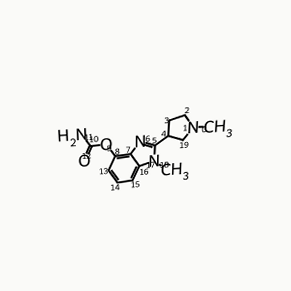 CN1CCC(c2nc3c(OC(N)=O)cccc3n2C)C1